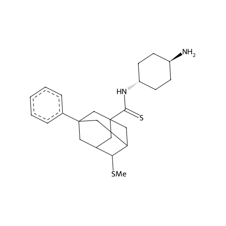 CSC1C2CC3(C(=S)N[C@H]4CC[C@H](N)CC4)CC1CC(c1ccccc1)(C2)C3